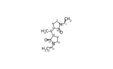 C=CN1CCC(C(C)C2CCN(C=C)C2=O)C1=O